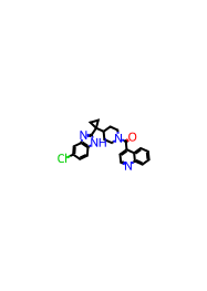 O=C(c1ccnc2ccccc12)N1CCC(C2(c3nc4cc(Cl)ccc4[nH]3)CC2)CC1